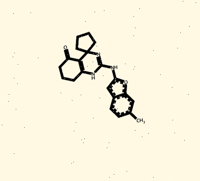 Cc1ccc2cc(NC3=NC4(CCCC4)C4=C(CCCC4=O)N3)oc2c1